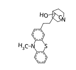 CN1c2ccccc2Sc2cc(CCC3(O)CN4CCC3CC4)ccc21